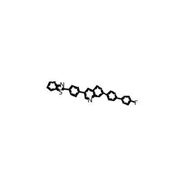 Fc1ccc(-c2ccc(-c3ccc4cc(-c5ccc(-c6nc7ccccc7s6)cc5)cnc4c3)cc2)cc1